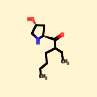 CCCCC(CC)C(=O)[C@@H]1C[C@@H](O)CN1